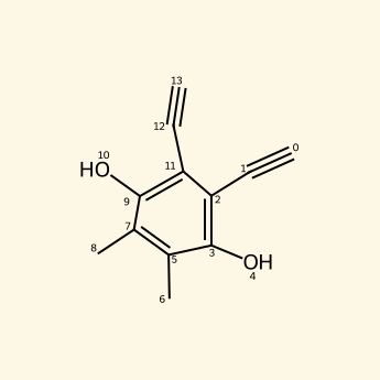 C#Cc1c(O)c(C)c(C)c(O)c1C#C